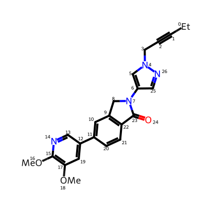 CCC#CCn1cc(N2Cc3cc(-c4cnc(OC)c(OC)c4)ccc3C2=O)cn1